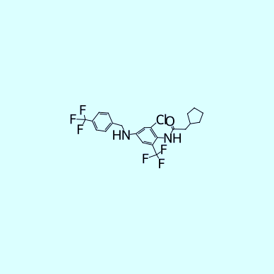 O=C(CC1CCCC1)Nc1c(Cl)cc(NCc2ccc(C(F)(F)F)cc2)cc1C(F)(F)F